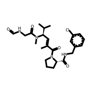 C/C(=C\[C@H](C(C)C)N(C)C(=O)CNC=O)C(=O)N1CCC[C@H]1C(=O)NCc1cccc(Cl)c1